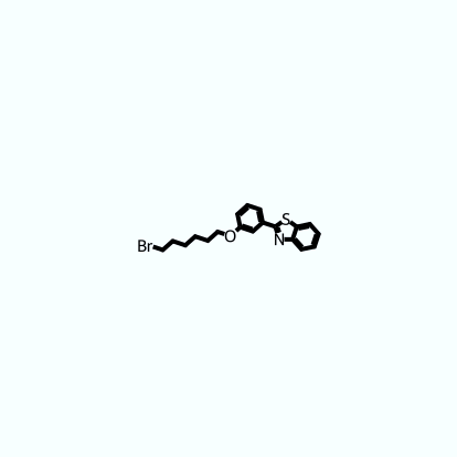 BrCCCCCCOc1cccc(-c2nc3ccccc3s2)c1